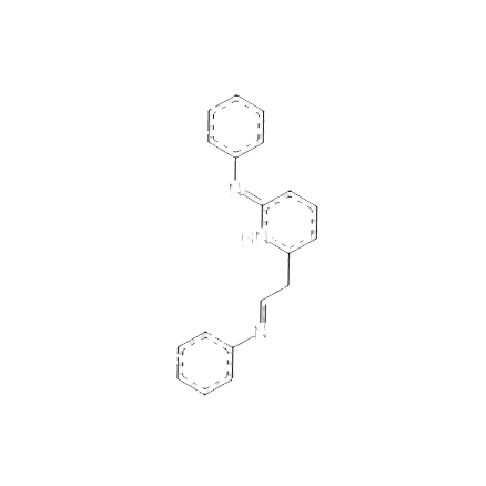 C(Cc1cccc(=Nc2ccccc2)[nH]1)=Nc1ccccc1